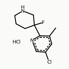 Cc1cc(Cl)cnc1C1(F)CCCNC1.Cl